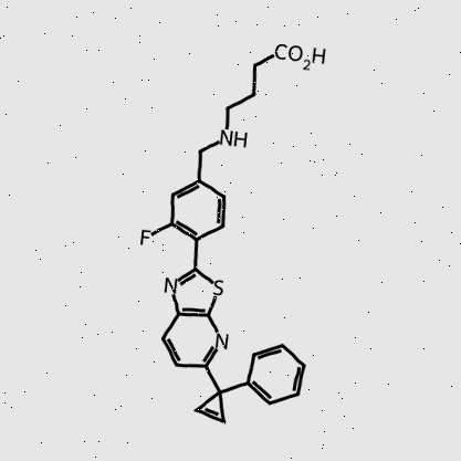 O=C(O)CCCNCc1ccc(-c2nc3ccc(C4(c5ccccc5)C=C4)nc3s2)c(F)c1